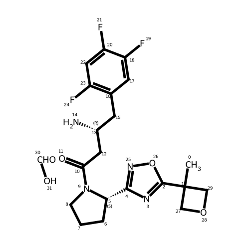 CC1(c2nc([C@@H]3CCCN3C(=O)C[C@H](N)Cc3cc(F)c(F)cc3F)no2)COC1.O=CO